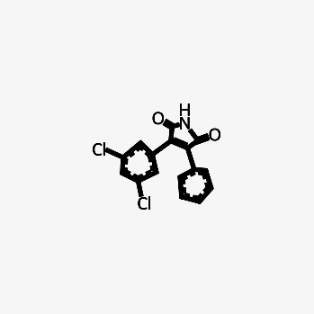 O=C1NC(=O)C(c2cc(Cl)cc(Cl)c2)=C1c1ccccc1